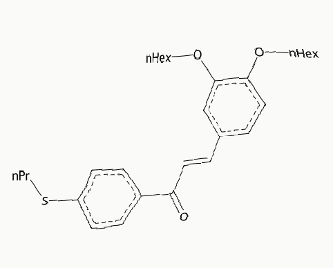 CCCCCCOc1ccc(C=CC(=O)c2ccc(SCCC)cc2)cc1OCCCCCC